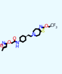 Cc1cc(OCC(=O)N[C@H]2CC[C@H](CCN3CCc4nc(OCC(F)(F)F)sc4CC3)CC2)no1